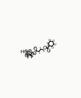 O=C(CCCOC(=O)C1CCCCC1)OCC(F)(F)S(=O)(=O)O